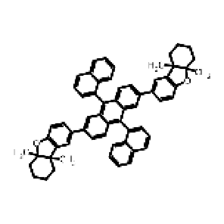 CC12CCCCC1(C)c1cc(-c3ccc4c(-c5cccc6ccccc56)c5cc(-c6ccc7c(c6)C6(C)CCCCC6(C)O7)ccc5c(-c5cccc6ccccc56)c4c3)ccc1O2